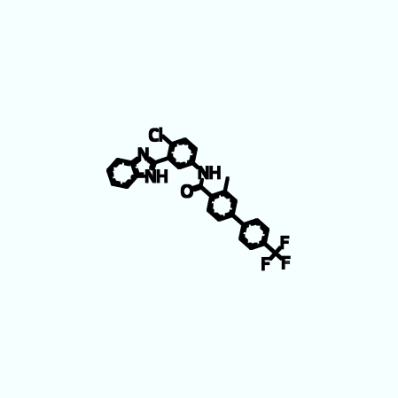 Cc1cc(-c2ccc(C(F)(F)F)cc2)ccc1C(=O)Nc1ccc(Cl)c(-c2nc3ccccc3[nH]2)c1